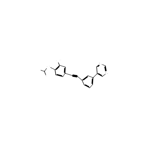 Cc1cc(C#Cc2cccc(-c3cncnc3)c2)ccc1OC(F)F